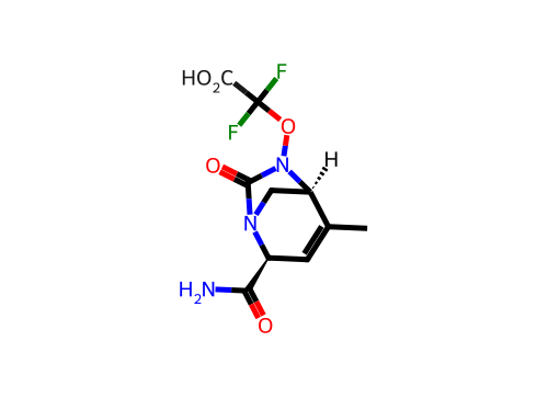 CC1=C[C@@H](C(N)=O)N2C[C@H]1N(OC(F)(F)C(=O)O)C2=O